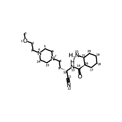 COCCN1CCN(CC[C@@H](C#N)NC(=O)[C@@H]2CCCC[C@@H]2N)CC1